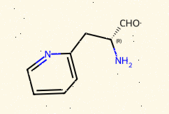 N[C@@H]([C]=O)Cc1ccccn1